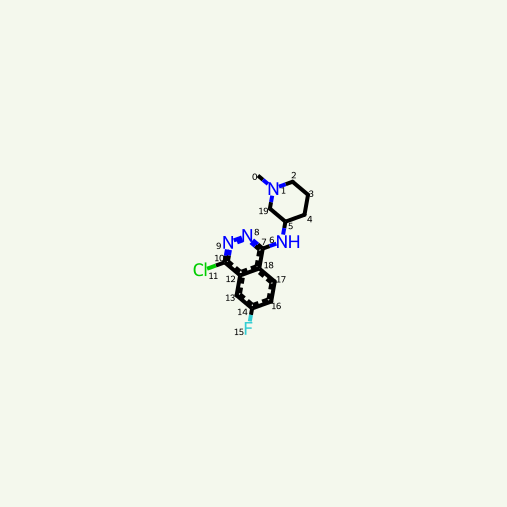 CN1CCCC(Nc2nnc(Cl)c3cc(F)ccc23)C1